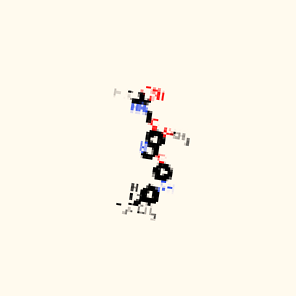 CCC(CO)(CO)NCCOc1cc2nccc(Oc3ccc(Nc4ccc(C(C)(C)C)cc4)cc3)c2cc1OC